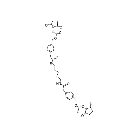 O=C(NCCCCCNC(=O)Oc1ccc(COC(=O)ON2C(=O)CCC2=O)cc1)Oc1ccc(COC(=O)ON2C(=O)CCC2=O)cc1